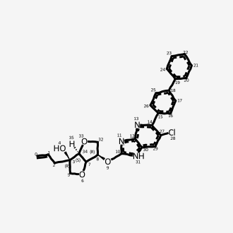 C=CC[C@@]1(O)COC2[C@H](Oc3nc4nc(-c5ccc(-c6ccccc6)cc5)c(Cl)cc4[nH]3)CO[C@@H]21